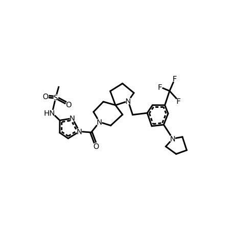 CS(=O)(=O)Nc1ccn(C(=O)N2CCC3(CCCN3Cc3cc(N4CCCC4)cc(C(F)(F)F)c3)CC2)n1